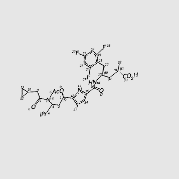 CC(=O)O[C@H](CC(C(C)C)N(C)C(=O)CC1CC1)c1nc(C(=O)N[C@@H](Cc2c(F)cc(F)cc2F)C[C@H](C)C(=O)O)cs1